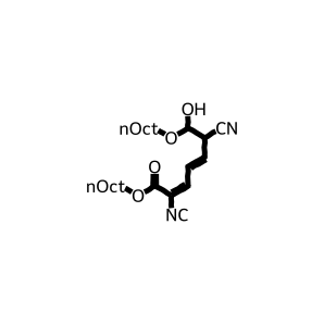 [C-]#[N+]C(=CC=CC(C#N)C(O)OCCCCCCCC)C(=O)OCCCCCCCC